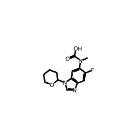 CN(C(=O)O)c1cc2c(cc1F)ncn2C1CCCCO1